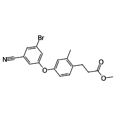 COC(=O)CCc1ccc(Oc2cc(Br)cc(C#N)c2)cc1C